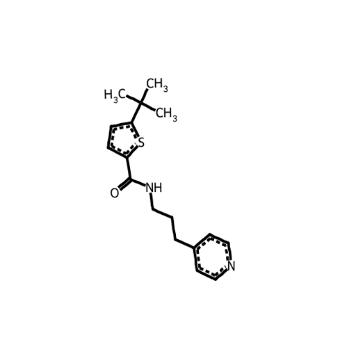 CC(C)(C)c1ccc(C(=O)NCCCc2ccncc2)s1